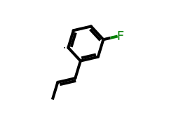 C/C=C/c1[c]ccc(F)c1